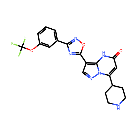 O=c1cc(C2CCNCC2)n2ncc(-c3nc(-c4cccc(OC(F)(F)F)c4)no3)c2[nH]1